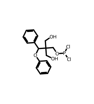 OCC(CO)(COP(Cl)Cl)C(Oc1ccccc1)c1ccccc1